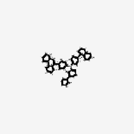 c1ccc(-c2cccc(N(c3ccc(-c4cccc5ccccc45)cc3)c3ccc(-c4cc5ccccc5c5ccccc45)cc3)c2)cc1